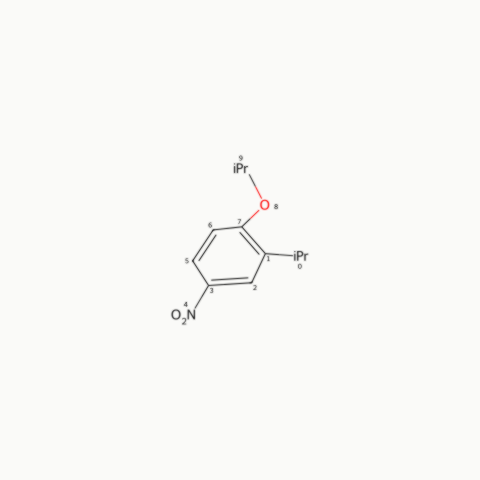 [CH2]C(C)c1cc([N+](=O)[O-])ccc1OC(C)C